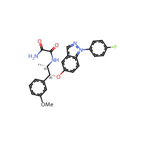 COc1cccc([C@@H](Oc2ccc3c(cnn3-c3ccc(F)cc3)c2)[C@H](C)NC(=O)C(N)=O)c1